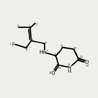 CC(C)=C(CF)CNC1CCC(=O)NC1=O